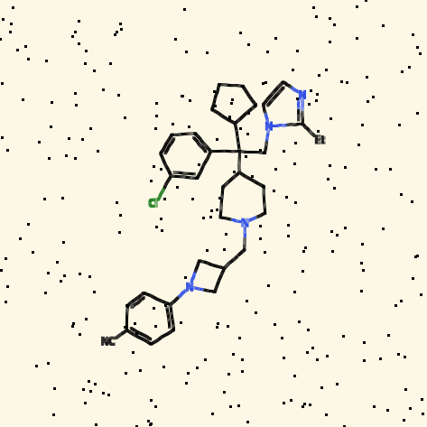 CCc1nccn1CC(c1cccc(Cl)c1)(C1CCCC1)C1CCN(CC2CN(c3ccc(C#N)cc3)C2)CC1